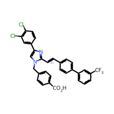 O=C(O)c1ccc(Cn2cc(-c3ccc(Cl)c(Cl)c3)nc2/C=C/c2ccc(-c3cccc(C(F)(F)F)c3)cc2)cc1